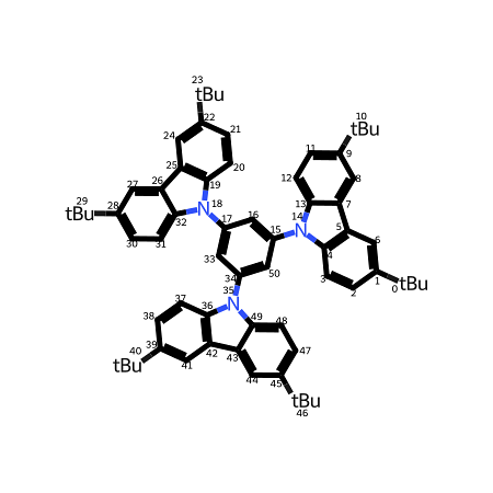 CC(C)(C)c1ccc2c(c1)c1cc(C(C)(C)C)ccc1n2-c1cc(-n2c3ccc(C(C)(C)C)cc3c3cc(C(C)(C)C)ccc32)cc(-n2c3ccc(C(C)(C)C)cc3c3cc(C(C)(C)C)ccc32)c1